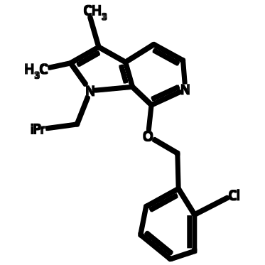 Cc1c(C)n(CC(C)C)c2c(OCc3ccccc3Cl)nccc12